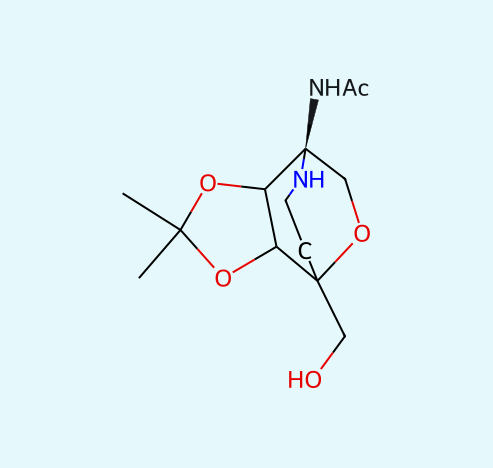 CC(=O)N[C@@]12COC(CO)(CCN1)C1OC(C)(C)OC12